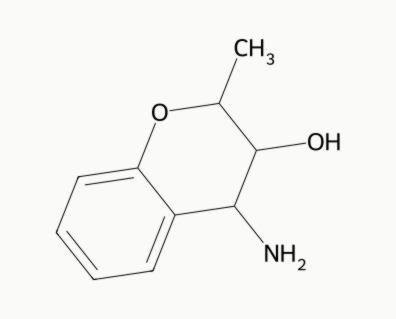 CC1Oc2ccccc2C(N)C1O